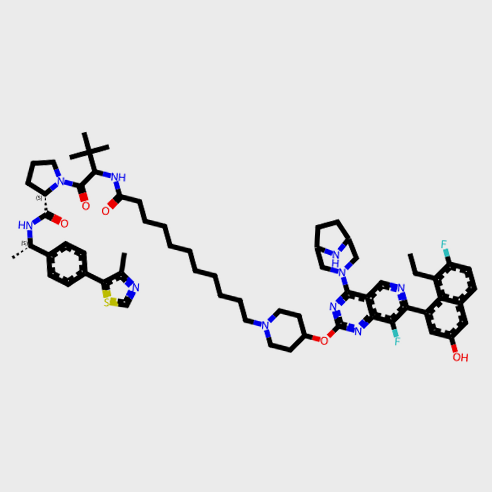 CCc1c(F)ccc2cc(O)cc(-c3ncc4c(N5CC6CCC(C5)N6)nc(OC5CCN(CCCCCCCCCCC(=O)NC(C(=O)N6CCC[C@H]6C(=O)N[C@@H](C)c6ccc(-c7scnc7C)cc6)C(C)(C)C)CC5)nc4c3F)c12